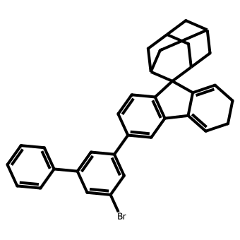 Brc1cc(-c2ccccc2)cc(-c2ccc3c(c2)C2=CCCC=C2C32C3CC4CC(C3)CC2C4)c1